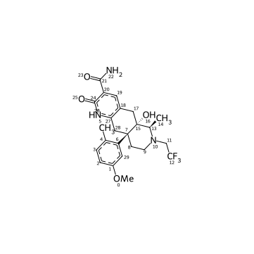 COc1ccc(C)c([C@]23CCN(CC(F)(F)F)[C@H](C)[C@]2(O)Cc2cc(C(N)=O)c(=O)[nH]c2C3)c1